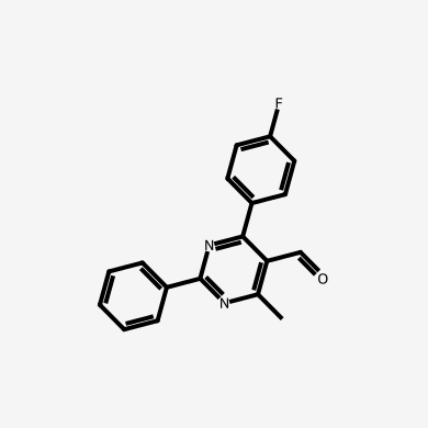 Cc1nc(-c2ccccc2)nc(-c2ccc(F)cc2)c1C=O